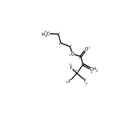 C=C(C(=O)OCCCC)C(F)(F)F